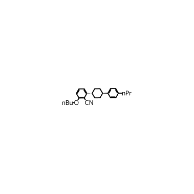 CCCCOc1cccc([C@H]2CC[C@H](c3ccc(CCC)cc3)CC2)c1C#N